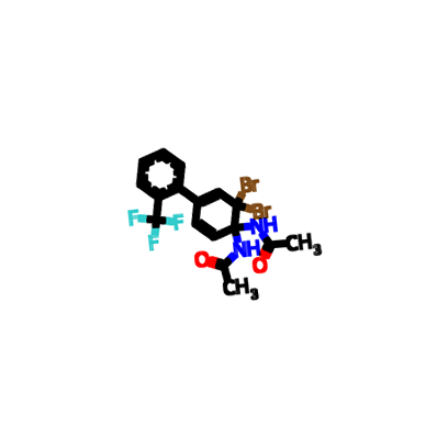 CC(=O)NC1(NC(C)=O)C=CC(c2ccccc2C(F)(F)F)=CC1(Br)Br